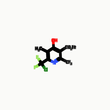 CCOC(=O)c1c(C(F)(F)F)nc(C(F)(F)Cl)c(C)c1O